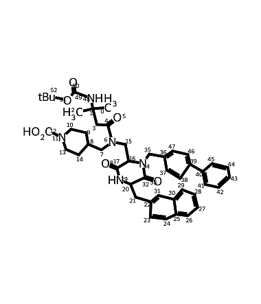 CC(C)(CC(=O)N(CC1CCN(C(=O)O)CC1)CC1C(=O)NC(Cc2ccc3ccccc3c2)C(=O)N1Cc1ccc(-c2ccccc2)cc1)NC(=O)OC(C)(C)C